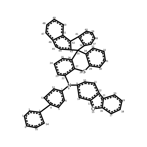 c1ccc(-c2ccc(N(c3ccc4c(c3)oc3ccccc34)c3cccc4c3Sc3ccccc3C43c4ccccc4-c4c3ccc3ccccc43)cc2)cc1